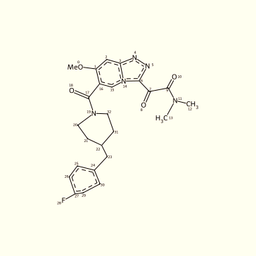 COc1cc2nnc(C(=O)C(=O)N(C)C)n2cc1C(=O)N1CCC(Cc2ccc(F)cc2)CC1